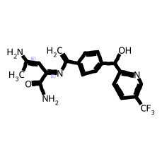 C=C(/N=C(\C=C(/C)N)C(N)=O)c1ccc(C(O)c2ccc(C(F)(F)F)cn2)cc1